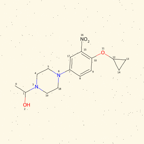 CC(O)N1CCN(c2ccc(OC3CC3)c([N+](=O)[O-])c2)CC1